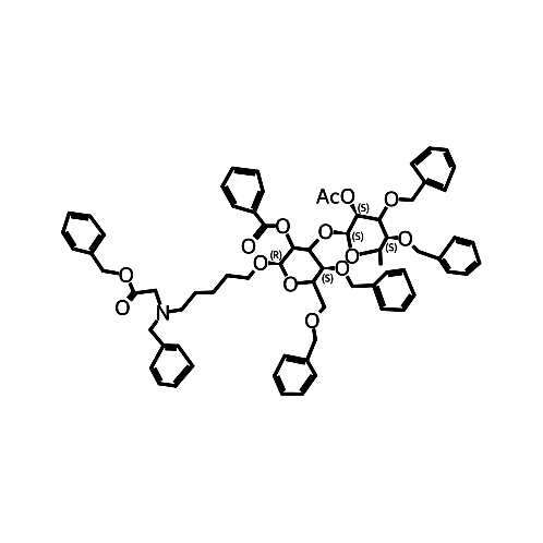 CC(=O)O[C@H]1C(OCc2ccccc2)[C@@H](OCc2ccccc2)C(C)O[C@H]1OC1C(OC(=O)c2ccccc2)[C@H](OCCCCCN(CC(=O)OCc2ccccc2)Cc2ccccc2)OC(COCc2ccccc2)[C@@H]1OCc1ccccc1